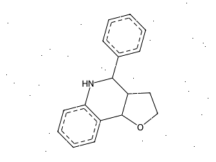 c1ccc(C2Nc3ccccc3C3OCCC23)cc1